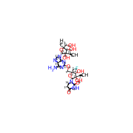 C#C[C@@]1(O)[C@H](O)[C@@](CF)(COc2nc(N)c3ncn([C@@H]4O[C@](C)(CO)[C@@H](O)[C@]4(O)C#C)c3n2)O[C@H]1n1ccc(=O)[nH]c1=O